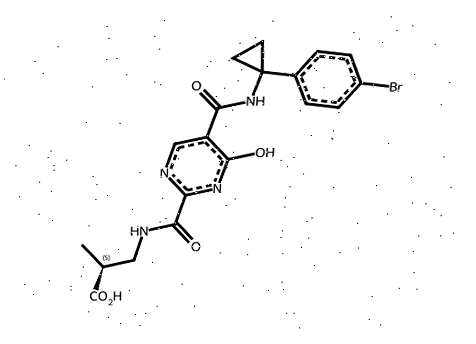 C[C@@H](CNC(=O)c1ncc(C(=O)NC2(c3ccc(Br)cc3)CC2)c(O)n1)C(=O)O